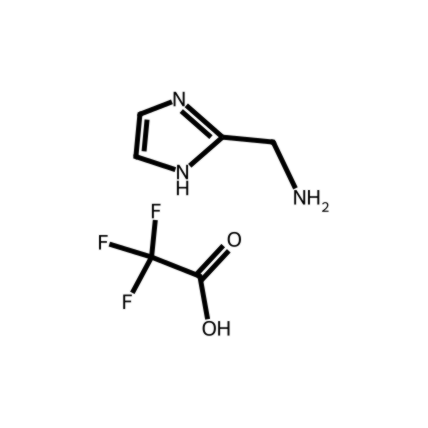 NCc1ncc[nH]1.O=C(O)C(F)(F)F